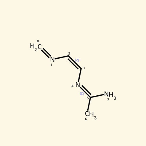 C=N/C=C\N=C(\C)N